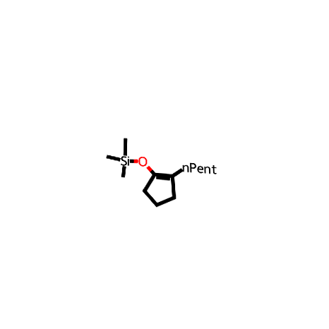 CCCCCC1=C(O[Si](C)(C)C)CCC1